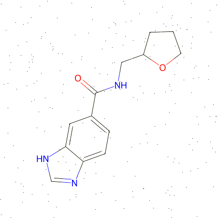 O=C(NCC1CCCO1)c1ccc2nc[nH]c2c1